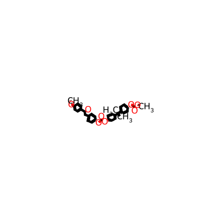 COC(=O)Oc1ccc(C(C)(C)c2ccc(OC(=O)Oc3ccc(CC(=O)c4ccc(OC)cc4)cc3)cc2)cc1